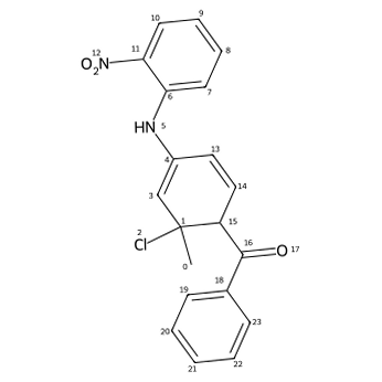 CC1(Cl)C=C(Nc2ccccc2[N+](=O)[O-])C=CC1C(=O)c1ccccc1